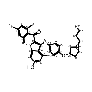 Cc1cc(F)cc(C)c1C(=O)c1sc2cc(O)cc(F)c2c1Oc1ccc(O[C@H]2CCN(CCCF)C2)cc1